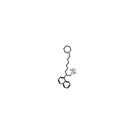 Cl.OCC(CCCCCCN1CCCCC1)c1cccc2ccccc12